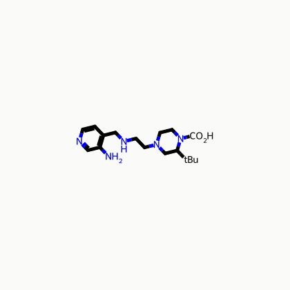 CC(C)(C)C1CN(CCNCc2ccncc2N)CCN1C(=O)O